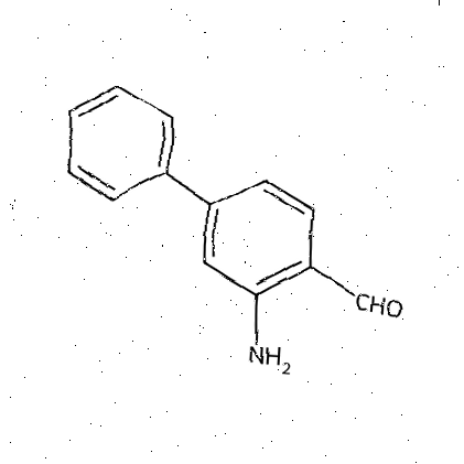 Nc1cc(-c2ccccc2)ccc1C=O